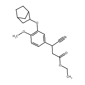 CCOC(=O)CC(C#N)c1ccc(OC)c(OC2CC3CCC2C3)c1